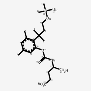 Cc1cc(C)c(C(C)(C)CCO[Si](C)(C)C(C)(C)C)c(OC(=O)NC(CCC(=O)O)C(=O)O)c1